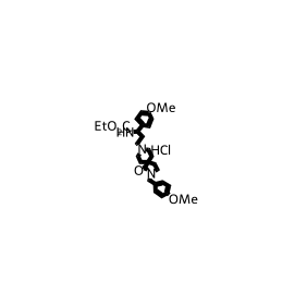 CCOC(=O)NC(CCN1CCC2(CC1)CCN(Cc1ccc(OC)cc1)C2=O)c1ccc(OC)cc1.Cl